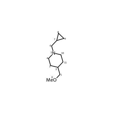 COCC1CCN(CC2CC2)CC1